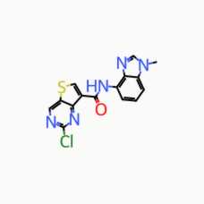 Cn1cnc2c(NC(=O)c3csc4cnc(Cl)nc34)cccc21